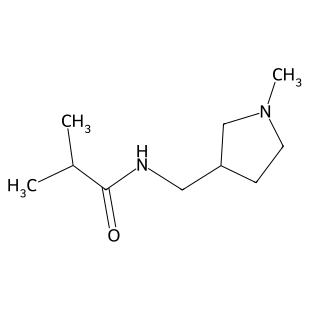 CC(C)C(=O)NCC1CCN(C)C1